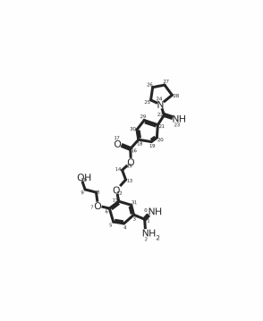 N=C(N)c1ccc(OCCO)c(OCCOC(=O)c2ccc(C(=N)N3CCCC3)cc2)c1